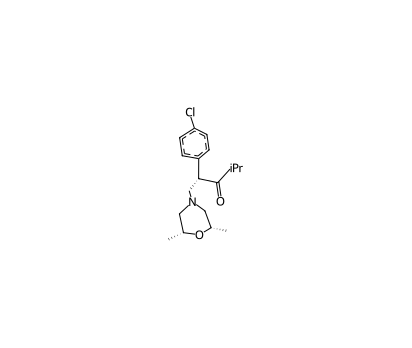 CC(C)C(=O)[C@H](CN1C[C@@H](C)O[C@@H](C)C1)c1ccc(Cl)cc1